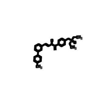 CCP(=O)(CC)Cc1ccc(NC(=O)/C=C/c2cccc(-c3ccc(C)cc3)c2)cc1